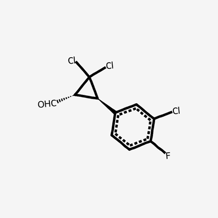 O=C[C@H]1[C@H](c2ccc(F)c(Cl)c2)C1(Cl)Cl